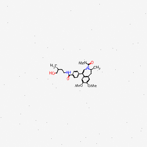 CNC(=O)N1C=C(c2ccc(C(=O)NCCC(C)CO)cc2)c2cc(OC)c(OC)cc2CC1C